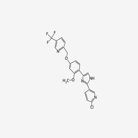 COc1cc(OCc2ccc(C(F)(F)F)cn2)ccc1-c1c[nH]c(-c2ccc(Cl)nc2)n1